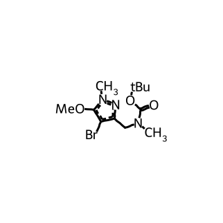 COc1c(Br)c(CN(C)C(=O)OC(C)(C)C)nn1C